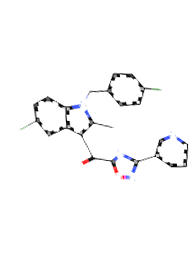 O=C(c1nc(-c2cccnc2)no1)c1c(C(F)(F)F)n(Cc2ccc(Cl)cc2)c2ccc(Cl)cc12